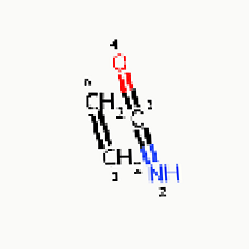 C=C.N=C=O